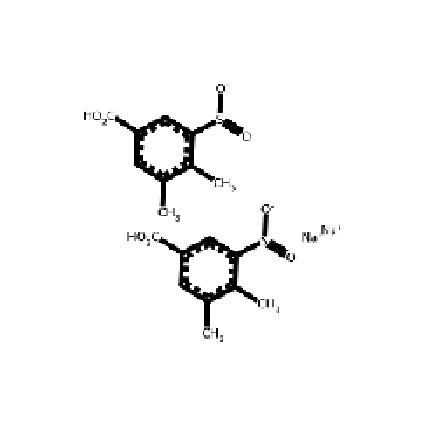 Cc1cc(C(=O)O)cc(S(=O)[O-])c1C.Cc1cc(C(=O)O)cc(S(=O)[O-])c1C.[Na+].[Na+]